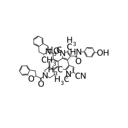 Cc1c(-c2c(C(=O)Nc3ccc(O)cc3)c(C)n(C)c2-c2cc3c(cc2C(=O)N2Cc4ccccc4C[C@H]2C)CN(C(=O)C2Cc4ccccc4O2)CC3)cc(C#N)n1C